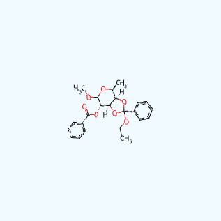 CCOC1(c2ccccc2)O[C@@H]2[C@H](O1)[C@H](C)OC(OC)[C@H]2OC(=O)c1ccccc1